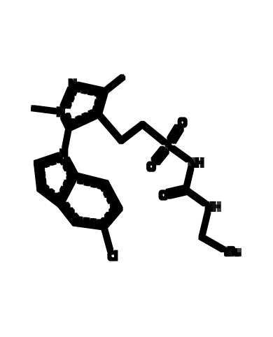 Cc1nn(C)c(-n2ccc3cc(Cl)ccc32)c1CCS(=O)(=O)NC(=O)NCC(C)(C)C